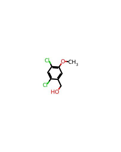 COc1cc(CO)c(Cl)cc1Cl